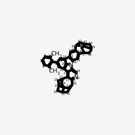 Cc1cccc(C)c1-c1cc2c3cc4c(cc3n3c5cnc6c(c5c(c1)c23)C1CC2CC3CC6CC32C1)C1CC2CC(CC4C2)C1